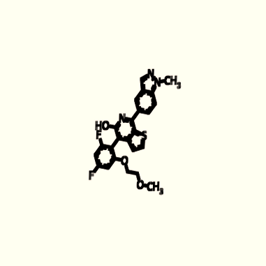 COCCOc1cc(F)cc(F)c1-c1c(O)nc(-c2ccc3c(cnn3C)c2)c2sccc12